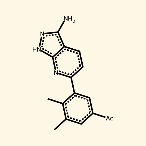 CC(=O)c1cc(C)c(C)c(-c2ccc3c(N)n[nH]c3n2)c1